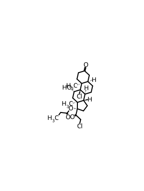 CCC(=O)O[C@@]1(C(=O)CCl)CC[C@H]2[C@@H]3CC[C@@H]4CC(=O)CC[C@]4(C)[C@@]3(Cl)[C@@H](O)C[C@@]21C